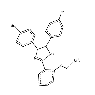 CCOc1ccccc1C1=NC(c2ccc(Br)cc2)C(c2ccc(Br)cc2)N1